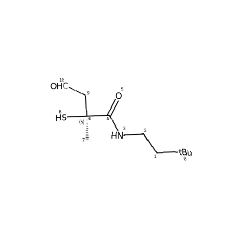 CC(C)(C)CCNC(=O)[C@@](C)(S)CC=O